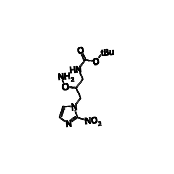 CC(C)(C)OC(=O)NCC(Cn1ccnc1[N+](=O)[O-])ON